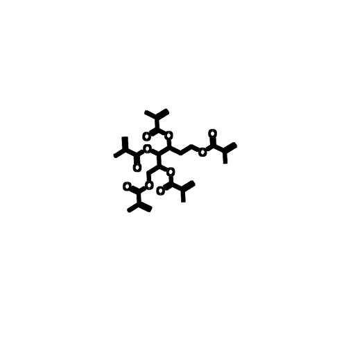 C=C(C)C(=O)OCCC(OC(=O)C(=C)C)C(OC(=O)C(=C)C)C(COC(=O)C(=C)C)OC(=O)C(=C)C